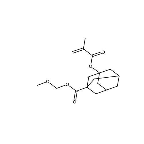 C=C(C)C(=O)OC12CC3CC(C1)CC(C(=O)OCOC)(C3)C2